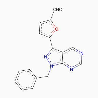 O=Cc1ccc(-c2nn(Cc3ccccc3)c3ncncc23)o1